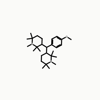 COc1ccc(C(C2[CH]CC(C)(C)N(C)C2(C)C)C2[CH]CC(C)(C)N(C)C2(C)C)cc1